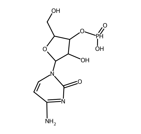 Nc1ccn(C2OC(CO)C(O[PH](=O)O)C2O)c(=O)n1